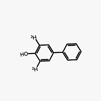 [2H]c1cc(-c2ccccc2)cc([2H])c1O